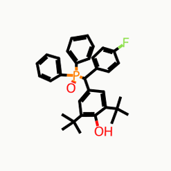 CC(C)(C)c1cc(C(c2ccc(F)cc2)P(=O)(c2ccccc2)c2ccccc2)cc(C(C)(C)C)c1O